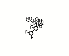 CC[C@@H](O)C(=O)N1C2CC(C2)[C@H](NS(C)(=O)=O)[C@@H]1Cc1cccc(-c2cc(F)cc(F)c2)c1F